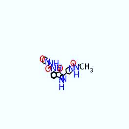 CCNC(=O)N1CCC(c2n[nH]c3c2C(=O)c2c(NC(=O)NN4CCOCC4)cccc2-3)CC1